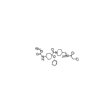 CC(C)(C)OC(=O)NC1CCC(Oc2ccccc2)(C(=O)N2CCC(CNC(=O)CCl)CC2)CC1